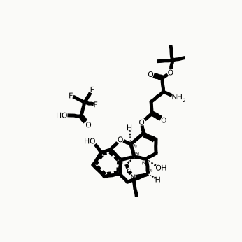 CN1CC[C@]23c4c5ccc(O)c4O[C@H]2C(OC(=O)CC(N)C(=O)OC(C)(C)C)=CC[C@@]3(O)[C@H]1C5.O=C(O)C(F)(F)F